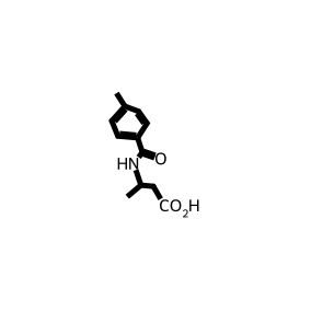 Cc1ccc(C(=O)NC(C)CC(=O)O)cc1